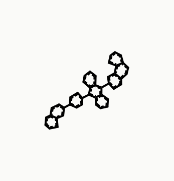 c1ccc2cc(-c3ccc(-c4c5ccccc5c(-c5ccc6ccc7ccccc7c6c5)c5ccccc45)cc3)ccc2c1